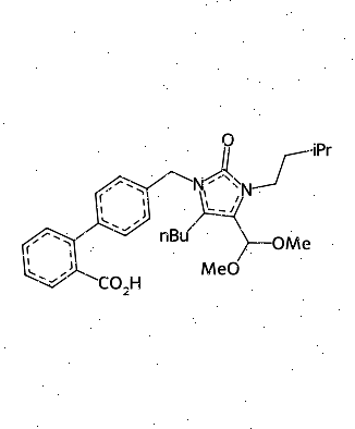 CCCCc1c(C(OC)OC)n(CCC(C)C)c(=O)n1Cc1ccc(-c2ccccc2C(=O)O)cc1